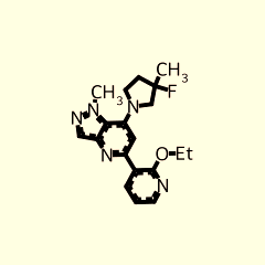 CCOc1ncccc1-c1cc(N2CCC(C)(F)C2)c2c(cnn2C)n1